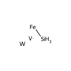 [SiH3][Fe].[V].[W]